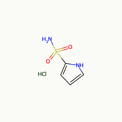 Cl.NS(=O)(=O)c1ccc[nH]1